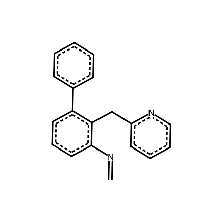 C=Nc1cccc(-c2ccccc2)c1Cc1ccccn1